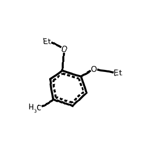 CCOc1ccc(C)cc1OCC